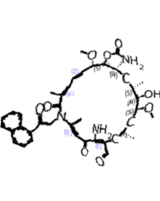 CO[C@H]1/C=C\C=C(/C)C(=O)N(CC(=O)c2cccc3ccccc23)/C(C)=C/C(=O)/C(N)=C(\C=O)C[C@@H](C)C[C@H](OC)[C@H](O)[C@@H](C)C[C@@H](C)[C@@H]1OC(N)=O